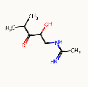 CC(=N)NCC(O)C(=O)C(C)C